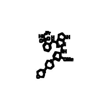 COc1cc(N2CCC(N3CCOCC3)CC2)ccc1Nc1nc2c(c(Nc3ccccc3S(=O)(=O)NC(C)C)n1)CCN2